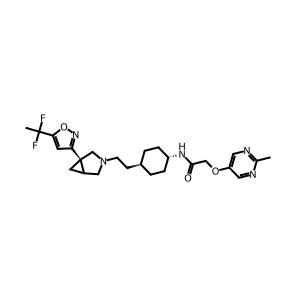 Cc1ncc(OCC(=O)N[C@H]2CC[C@H](CCN3CC4C[C@]4(c4cc(C(C)(F)F)on4)C3)CC2)cn1